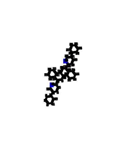 c1ccc(-c2ccc(-c3cc4c5ccccc5c(-c5ccc(-c6ccccc6)cn5)cc4c4ccccc34)nc2)cc1